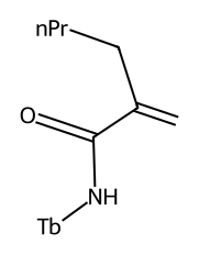 C=C(CCCC)C(=O)[NH][Tb]